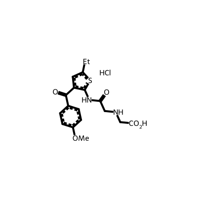 CCc1cc(C(=O)c2ccc(OC)cc2)c(NC(=O)CNCC(=O)O)s1.Cl